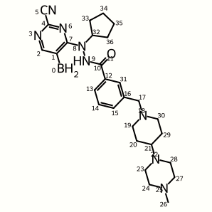 Bc1cnc(C#N)nc1N(NC(=O)c1cccc(CN2CCC(N3CCN(C)CC3)CC2)c1)C1CCCC1